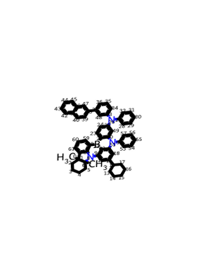 CC12CCCCC1(C)N1c3cc(C4CCCCC4)cc4c3B(c3ccc(N(c5ccccc5)c5cccc(-c6ccc7ccccc7c6)c5)cc3N4c3ccccc3)c3cccc2c31